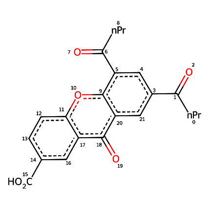 CCCC(=O)c1cc(C(=O)CCC)c2oc3ccc(C(=O)O)cc3c(=O)c2c1